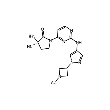 CC(=O)N1CC(n2cc(Nc3nccc(N4CC[C@@](C#N)(C(C)C)C4=O)n3)cn2)C1